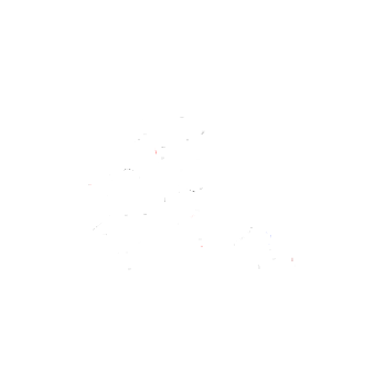 C[C@@H]([C@@H]1O[C@H]1C[C@@H]1OC[C@H](CC(=O)CC(O)c2ccc(Br)nc2)[C@@H](O[Si](C)(C)C)[C@@H]1O[Si](C)(C)C)[C@H](C)O[Si](C)(C)C